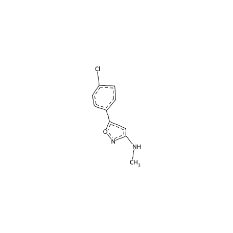 CNc1cc(-c2ccc(Cl)cc2)on1